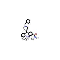 CCN(CC)C(=O)c1ccc(C(=C2CCN(Cc3ccccc3)CC2)c2ccccc2NC(=O)O)cc1